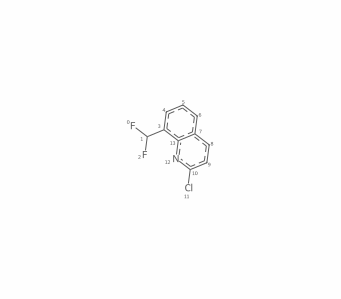 FC(F)c1cccc2ccc(Cl)nc12